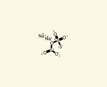 O=S([O-])OS(=O)(=O)[S-].[Na+].[Na+]